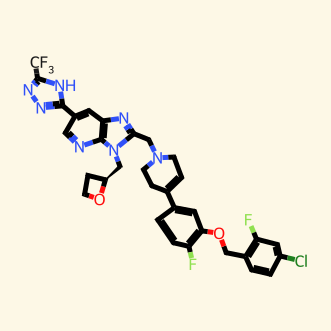 Fc1cc(Cl)ccc1COc1cc(C2=CCN(Cc3nc4cc(-c5nnc(C(F)(F)F)[nH]5)cnc4n3C[C@@H]3CCO3)CC2)ccc1F